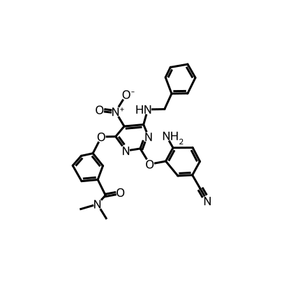 CN(C)C(=O)c1cccc(Oc2nc(Oc3cc(C#N)ccc3N)nc(NCc3ccccc3)c2[N+](=O)[O-])c1